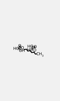 CCC(CCCCCOP(=O)(O)O)OP(=O)(O)O